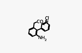 Nc1cccc(CC(=O)O)c1-c1cccc(Cl)c1